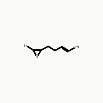 CCC1OC1CC/C=C/C#N